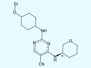 CCOC1CCC(Nc2ncc(C#N)c(N[C@@H]3CCCOC3)n2)CC1